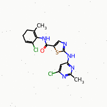 CC1=C(NC(=O)c2cnc(Nc3cc(Cl)nc(C)n3)s2)C(Cl)=CCC1